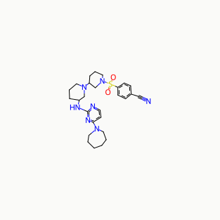 N#Cc1ccc(S(=O)(=O)N2CCCC(N3CCCC(Nc4nccc(N5CCCCCC5)n4)C3)C2)cc1